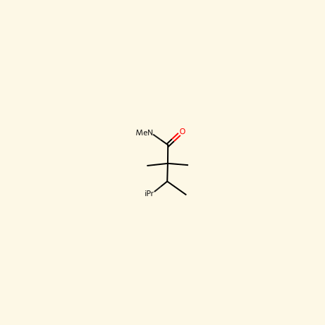 CNC(=O)C(C)(C)C(C)C(C)C